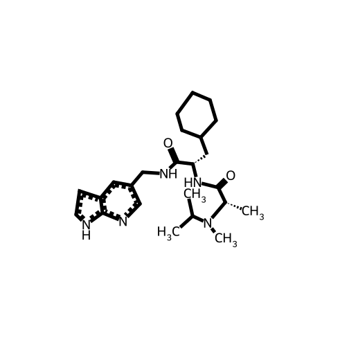 CC(C)N(C)[C@@H](C)C(=O)N[C@@H](CC1CCCCC1)C(=O)NCc1cnc2[nH]ccc2c1